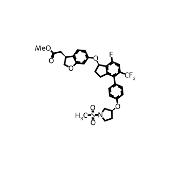 COC(=O)C[C@@H]1COc2cc(O[C@@H]3CCc4c(-c5ccc(O[C@H]6CCN(S(C)(=O)=O)C6)cc5)c(C(F)(F)F)cc(F)c43)ccc21